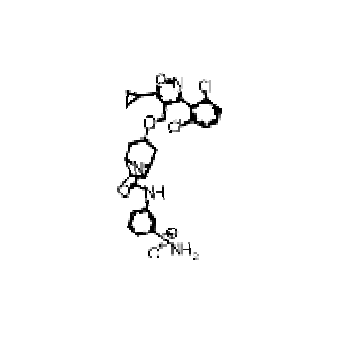 C[C@@H]1CC2C[C@H](OCc3c(-c4c(Cl)cccc4Cl)noc3C3CC3)CC1N2C(=O)Nc1cccc(S(N)(=O)=O)c1